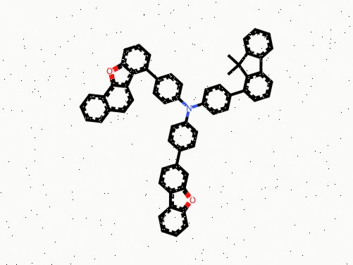 CC1(C)c2ccccc2-c2cccc(-c3ccc(N(c4ccc(-c5ccc6c(c5)oc5ccccc56)cc4)c4ccc(-c5cccc6oc7c8ccccc8ccc7c56)cc4)cc3)c21